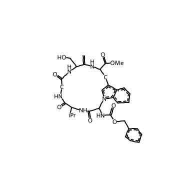 C=C1NC(C(=O)OC)Cc2cn(c3ccccc23)C(NC(=O)OCc2ccccc2)C(=O)NC(C(C)C)C(=O)NCC(=O)NC1CO